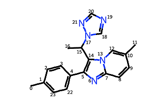 Cc1ccc(-c2nc3ccc(C)cn3c2C(C)n2cncn2)cc1